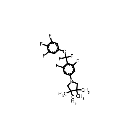 CC1(C)CB(c2cc(F)c(C(F)(F)Oc3cc(F)c(F)c(F)c3)c(F)c2)CC1(C)C